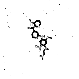 CNc1cccnc1C(=N)c1ccnc(Nc2cc([N+](=O)[O-])c(N(C)CCN(C)C)cc2OC)c1